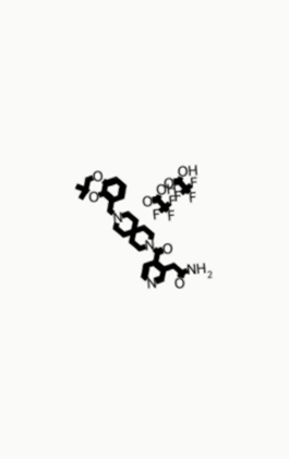 CC1(C)COc2cccc(CN3CCC4(CC3)CCN(C(=O)c3ccncc3CC(N)=O)CC4)c2O1.O=C(O)C(F)(F)F.O=C(O)C(F)(F)F